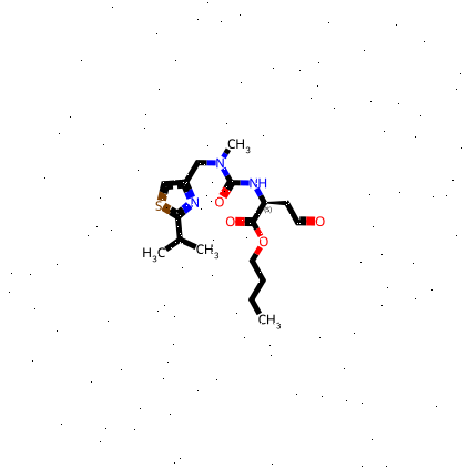 CCCCOC(=O)[C@H](CC=O)NC(=O)N(C)Cc1csc(C(C)C)n1